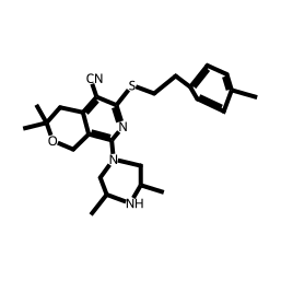 Cc1ccc(CCSc2nc(N3CC(C)NC(C)C3)c3c(c2C#N)CC(C)(C)OC3)cc1